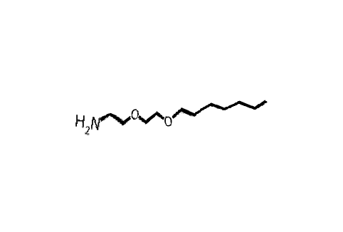 CCCCCCCOCCOCCN